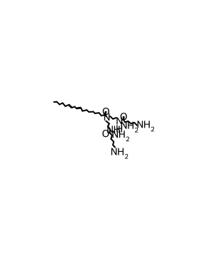 CCCCC/C=C/C/C=C/CCCCCCCC(=O)N(CCCNC(=O)[C@@H](N)CCCCN)CCCNC(=O)[C@@H](N)CCCCN